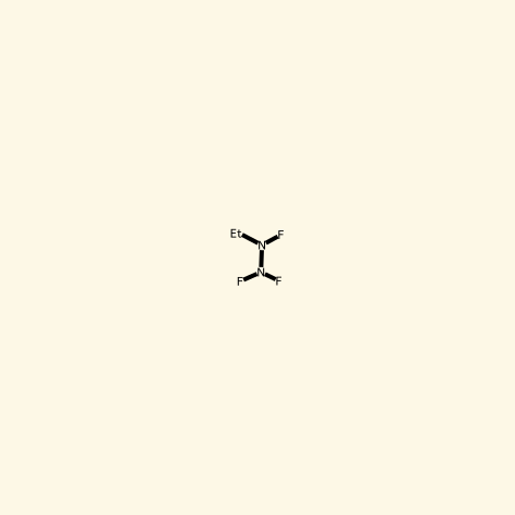 CCN(F)N(F)F